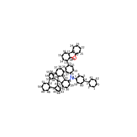 c1ccc(-c2ccc(N(c3ccc(-c4cccc5c4oc4ccccc45)cc3)c3cccc4c3-c3ccccc3C43c4ccccc4-c4ccccc4-c4ccccc43)cc2)cc1